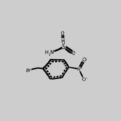 N[SH](=O)=O.O=[N+]([O-])c1ccc(Br)cc1